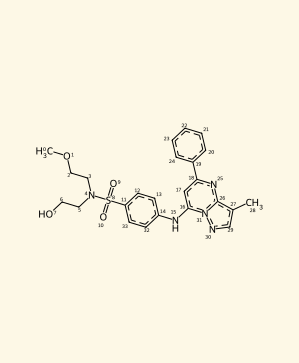 COCCN(CCO)S(=O)(=O)c1ccc(Nc2cc(-c3ccccc3)nc3c(C)cnn23)cc1